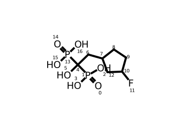 O=P(O)(O)C(O)(CC1CCC(F)C1)P(=O)(O)O